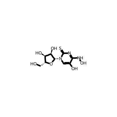 OC[C@H]1O[C@@H](n2cc(O)c(NO)nc2=S)[C@H](O)[C@@H]1O